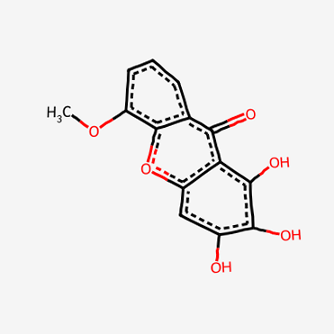 COc1cccc2c(=O)c3c(O)c(O)c(O)cc3oc12